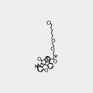 CN(CCOCCOCCCCCCCl)C(=O)c1ccc2c(c1)C1(C(=[N+]=[N-])C2=O)c2ccccc2Oc2cccc(N3CCC3)c21